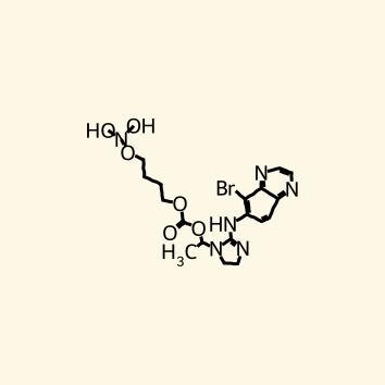 CC(OC(=O)OCCCCON(O)O)N1CCN=C1Nc1ccc2nccnc2c1Br